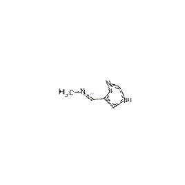 C/N=C/c1c[nH]cn1